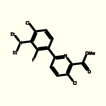 CCN(CC)c1c(Cl)ccc(-c2ccc(Cl)c(C(=O)OC)n2)c1F